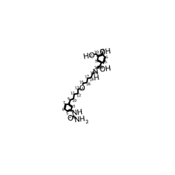 NC(=O)Nc1cccc(CCCCCOCCCCCNC[C@H](O)c2ccc(O)c(CO)c2)c1